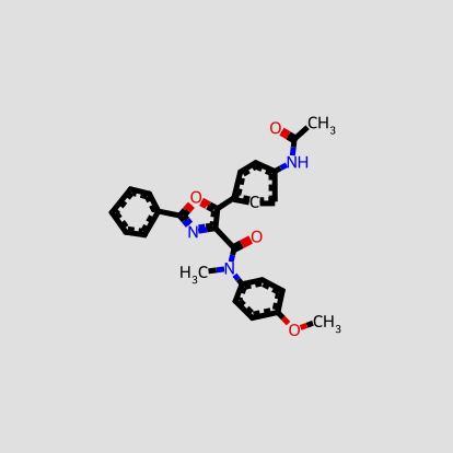 COc1ccc(N(C)C(=O)c2nc(-c3ccccc3)oc2-c2ccc(NC(C)=O)cc2)cc1